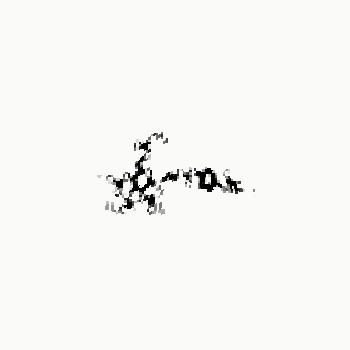 CC(=O)Nc1ccc(OC(=O)OCCOC2OC(COC(C)=O)[C@@H](OC(C)=O)C(OC(C)=O)[C@H]2OC(C)=O)cc1